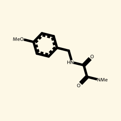 CNC(=O)C(=O)NCc1ccc(OC)cc1